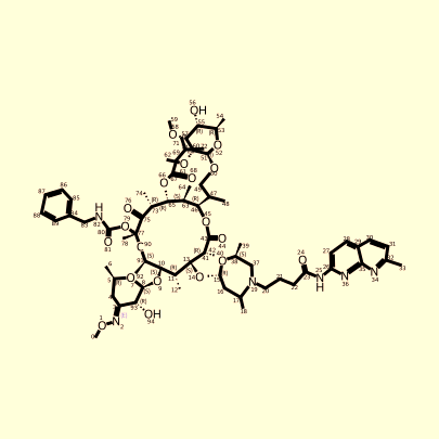 CO/N=C1\C[C@@H](C)O[C@@H](O[C@@H]2[C@@H](C)[C@H](O[C@H]3CC(C)N(CCCC(=O)Nc4ccc5ccc(C)nc5n4)C[C@H](C)O3)[C@@H](C)C(=O)O[C@H](C(C)CO[C@@H]3O[C@H](C)[C@@H](O)[C@@H](OC)[C@H]3OC)[C@H](C)[C@@H](OC(=O)CC(C)C)[C@@H](C)C(=O)[C@@](C)(OC(=O)NCc3ccccc3)C[C@@H]2C)[C@@H]1O